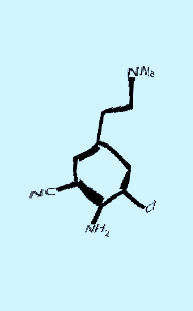 CNCCc1cc(Cl)c(N)c(C#N)c1